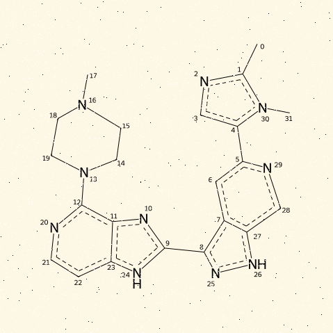 Cc1ncc(-c2cc3c(-c4nc5c(N6CCN(C)CC6)nccc5[nH]4)n[nH]c3cn2)n1C